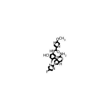 COc1cnc(C(=O)Nc2ccc(F)c(C34CN(c5ncc(F)cn5)C[C@H]3CSC(N)=N4)c2)cn1.Cl